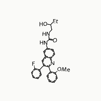 CCC(O)CNC(=O)Nc1ccc2nc(-c3ccccc3OC)c(-c3ccccc3F)cc2c1